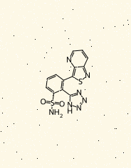 NS(=O)(=O)c1cccc(-c2snc3cccnc23)c1-c1nnn[nH]1